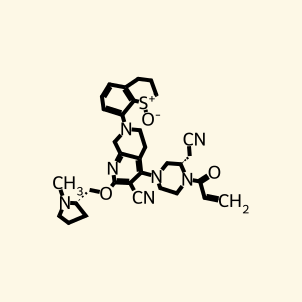 C=CC(=O)N1CCN(c2c(C#N)c(OC[C@@H]3CCCN3C)nc3c2CCN(c2cccc4c2[S+]([O-])CCC4)C3)C[C@@H]1CC#N